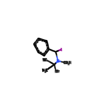 CCCC(C)(C#N)N(C(=O)O)C(I)c1ccccc1